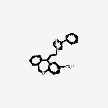 O=C(O)c1ccc2c(c1)C(=CCn1cnc(-c3ccccc3)c1)c1ccccc1CO2